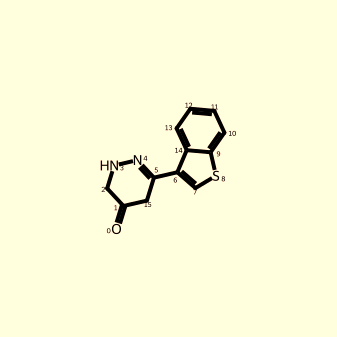 O=C1CNN=C(c2csc3ccccc23)C1